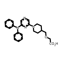 O=C(O)COCC1CCN(c2cncc(N(c3ccccc3)c3ccccc3)n2)CC1